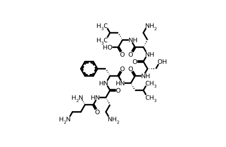 CC(C)C[C@H](NC(=O)[C@H](CCN)NC(=O)[C@H](CO)NC(=O)[C@H](CC(C)C)NC(=O)[C@@H](Cc1ccccc1)NC(=O)[C@H](CCN)NC(=O)[C@@H](N)CCN)C(=O)O